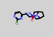 NC(=O)N1C2CCC1CN(CCc1ccnc(Cl)n1)C2